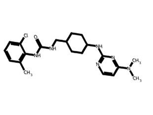 Cc1cccc(Cl)c1NC(=O)NCC1CCC(Nc2nccc(N(C)C)n2)CC1